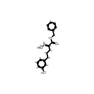 O=C(OCc1ccccc1)C(CCCc1cccc(Cl)c1)=NO